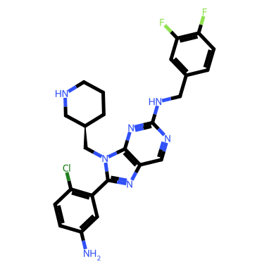 Nc1ccc(Cl)c(-c2nc3cnc(NCc4ccc(F)c(F)c4)nc3n2C[C@@H]2CCCNC2)c1